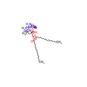 CCCCCCCCCCCCCCCC(=O)OCC(COC1(C(=O)O)CCC(C)(NC(C)C(=O)NC(Cc2cnc[nH]2)C(N)=O)CC1)OC(=O)CCCCCCCCCCCCCCC